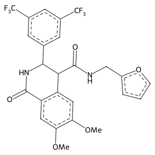 COc1cc2c(cc1OC)C(C(=O)NCc1ccco1)C(c1cc(C(F)(F)F)cc(C(F)(F)F)c1)NC2=O